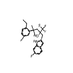 CCc1ccc(F)cc1C(C)(C)CC(O)(Cc1cc2ccc(F)cc2[nH]1)C(F)(F)F